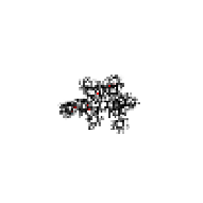 c1ccc(-c2ccc3c(c2)c2ccccc2n3-c2cc(-c3nc(-c4ccccc4)nc(-c4ccccc4)n3)c(-n3c4ccccc4c4ccccc43)c(-c3nc(-c4ccccc4)nc(-c4ccccc4)n3)c2-n2c3ccccc3c3cc(-c4ccccc4)ccc32)cc1